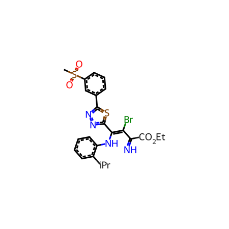 CCOC(=O)C(=N)/C(Br)=C(\Nc1ccccc1C(C)C)c1nnc(-c2cccc(S(C)(=O)=O)c2)s1